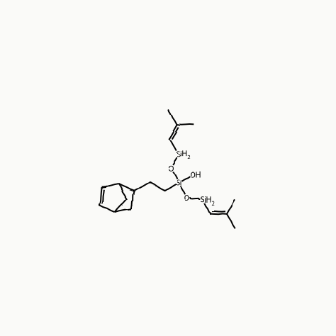 CC(C)=C[SiH2]O[Si](O)(CCC1CC2C=CC1C2)O[SiH2]C=C(C)C